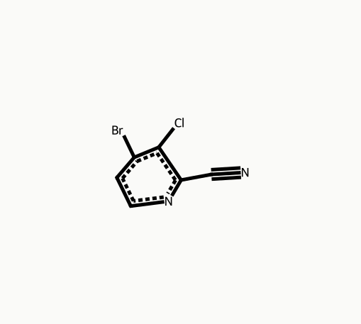 N#Cc1nccc(Br)c1Cl